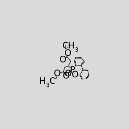 CCOC(=O)CC(CC(=O)OCC)P1(=O)Oc2ccccc2-c2ccccc21